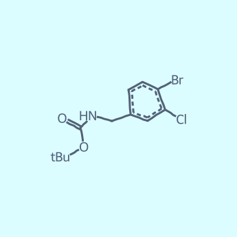 CC(C)(C)OC(=O)NCc1ccc(Br)c(Cl)c1